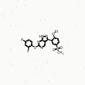 CCOc1ccc(S(C)(=O)=O)cc1-c1n[nH]c2nc(Oc3ccc(F)cc3F)ncc12